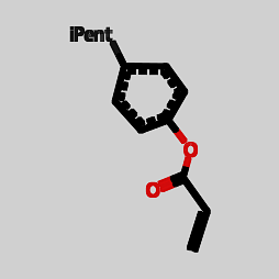 C=CC(=O)Oc1ccc(C(C)CCC)cc1